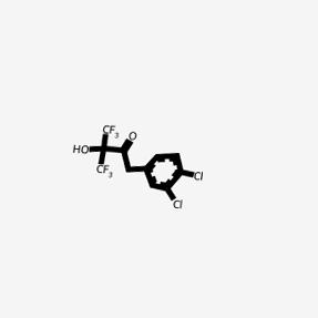 O=C(Cc1ccc(Cl)c(Cl)c1)C(O)(C(F)(F)F)C(F)(F)F